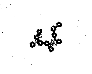 c1ccc(-c2cccc(-c3ccc(-c4nc(-n5c6ccccc6c6cc(-c7ccc8c(c7)c7c9sc%10ccccc%10c9ccc7n8-c7ccccc7)ccc65)nc5ccccc45)cc3)c2)cc1